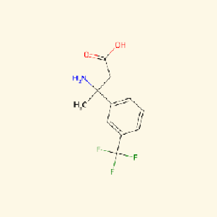 CC(N)(CC(=O)O)c1cccc(C(F)(F)F)c1